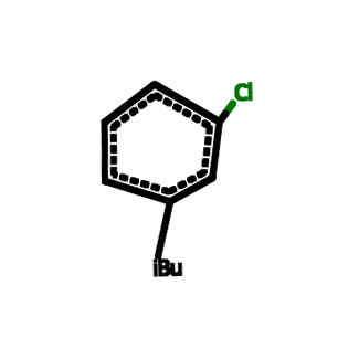 [CH2]C(CC)c1cccc(Cl)c1